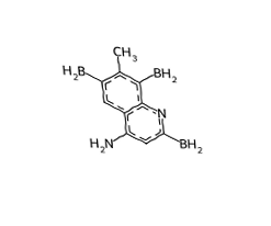 Bc1cc(N)c2cc(B)c(C)c(B)c2n1